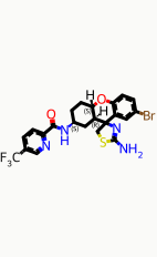 NC1=NC2(CS1)c1cc(Br)ccc1O[C@H]1CC[C@H](NC(=O)c3ccc(C(F)(F)F)cn3)C[C@@H]12